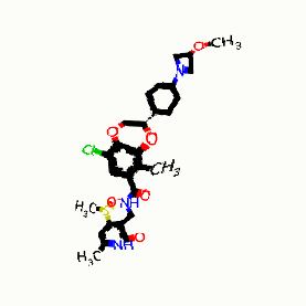 COC1CN(C2CCC([C@H]3COc4c(Cl)cc(C(=O)NCc5c([S+](C)[O-])cc(C)[nH]c5=O)c(C)c4O3)CC2)C1